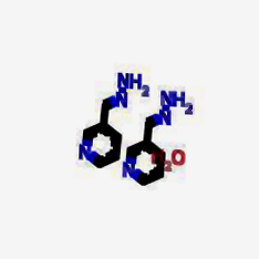 N/N=C/c1cccnc1.N/N=C/c1cccnc1.O